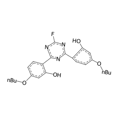 CCCCOc1ccc(-c2nc(F)nc(-c3ccc(OCCCC)cc3O)n2)c(O)c1